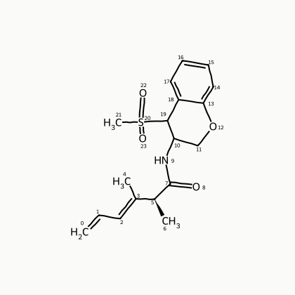 C=C/C=C(\C)[C@H](C)C(=O)NC1COc2ccccc2C1S(C)(=O)=O